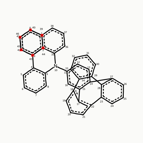 c1ccc(-c2ccccc2N(c2ccc3c(c2)-c2c4cccc2-c2cccc-3c2-c2ccccc2-4)c2cccc3ccccc23)cc1